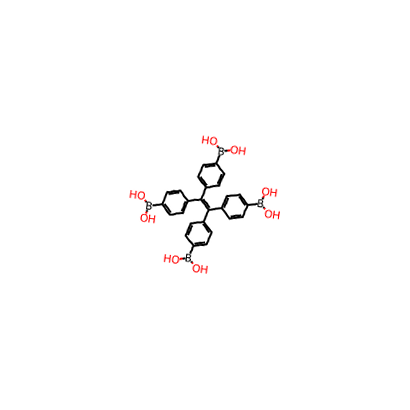 OB(O)c1ccc(C(=C(c2ccc(B(O)O)cc2)c2ccc(B(O)O)cc2)c2ccc(B(O)O)cc2)cc1